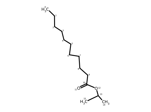 CCCCCCCCCCC(=O)OC(C)C